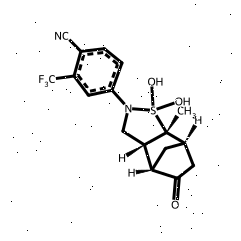 C[C@@]12[C@@H]3CC(=O)[C@@H](C3)[C@@H]1CN(c1ccc(C#N)c(C(F)(F)F)c1)S2(O)O